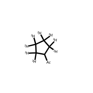 [2H]C1([2H])C(C(C)=O)C([2H])([2H])C([2H])([2H])C1([2H])[2H]